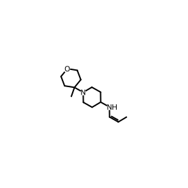 C/C=C\NC1CCN(C2(C)CCOCC2)CC1